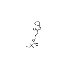 CCC(C)(C)C(=O)OCCCC(=O)OC1(C)CCCC1